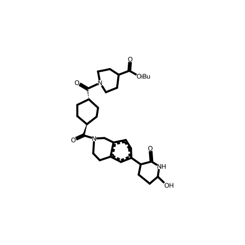 CC(C)COC(=O)C1CCN(C(=O)[C@H]2CC[C@H](C(=O)N3CCc4cc(C5CCC(O)NC5=O)ccc4C3)CC2)CC1